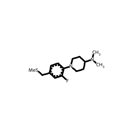 CSCc1ccc(N2CCC(N(C)C)CC2)c(F)c1